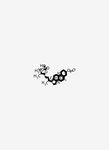 CC(C)[C@H](CC[C@@H](C)[C@H]1CC[C@H]2[C@@H]3CC=C4C[C@@H](OP=O)CC[C@]4(C)[C@H]3CC[C@]12C)OP(=O)(O)O